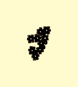 C1=CC2Oc3c(c(-c4cccc(-c5ccccc5)c4)cc4c3oc3ccc(-n5c6ccccc6c6ccccc65)cc34)C2C=C1n1c2ccccc2c2ccccc21